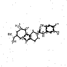 CC[C@@H](O)C1CN(C)C(=O)c2c3c(nn2C1)CCN(C(=O)Nc1cc(Cl)c(F)cc1F)C3